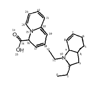 CCC1CC2CCC=CC2N1CC.O=C(O)C1C=CC=C2C=CC=CN21